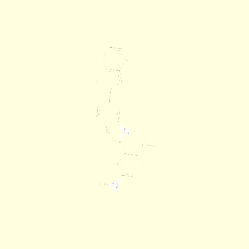 COc1ccc([N+](=O)[O-])cc1-c1nc2cc(-c3cc4ccccc4s3)ccc2o1